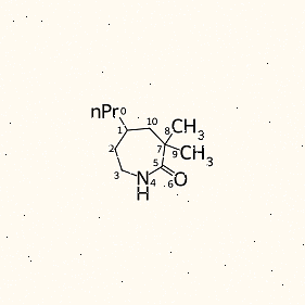 CCCC1CCNC(=O)C(C)(C)C1